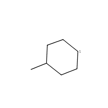 CC1CC[C]CC1